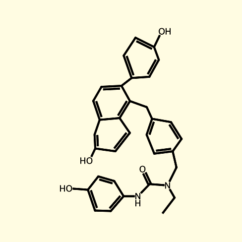 CCN(Cc1ccc(Cc2c(-c3ccc(O)cc3)ccc3cc(O)ccc23)cc1)C(=O)Nc1ccc(O)cc1